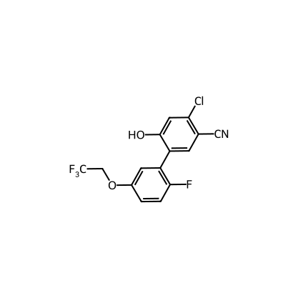 N#Cc1cc(-c2cc(OCC(F)(F)F)ccc2F)c(O)cc1Cl